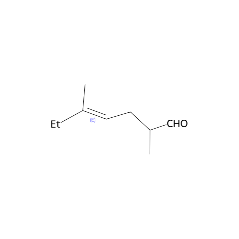 CC/C(C)=C/CC(C)C=O